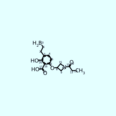 BCCc1ccc(OC2CN(C(=O)[CH]C)C2)c(C(=O)O)c1O